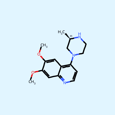 COc1cc2nccc(N3CCN[C@H](C)C3)c2cc1OC